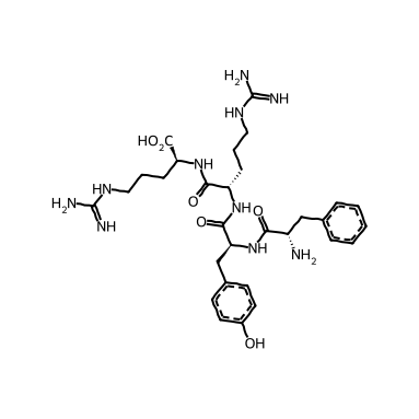 N=C(N)NCCC[C@H](NC(=O)[C@H](CCCNC(=N)N)NC(=O)[C@H](Cc1ccc(O)cc1)NC(=O)[C@@H](N)Cc1ccccc1)C(=O)O